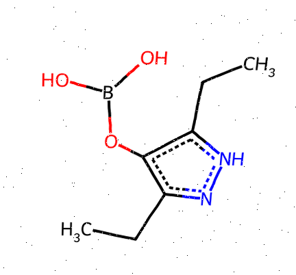 CCc1n[nH]c(CC)c1OB(O)O